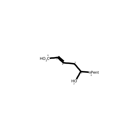 CCCCCC(O)C/C=C/C(=O)O